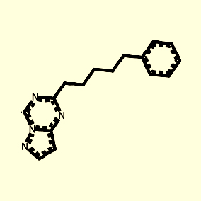 [c]1nc(CCCCCc2ccccc2)nc2ccnn12